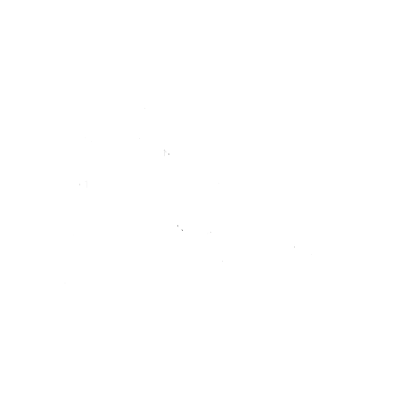 C=CCC(C(=O)NCc1cc(Cl)cc(Cl)c1)C1(c2ccc(F)cc2)CCN(C(=O)OC(C)(C)C)CC1